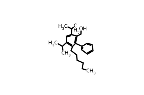 CCCCCCc1c(C(C)C)cc(C(C)C)c(CO)c1-c1ccccc1